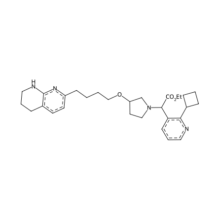 CCOC(=O)C(c1cccnc1C1CCC1)N1CCC(OCCCCc2ccc3c(n2)NCCC3)C1